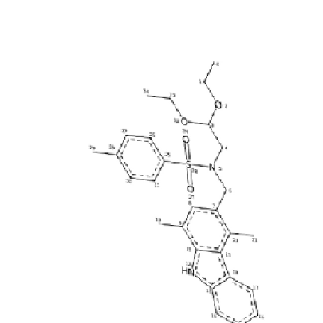 CCOC(CN(Cc1cc(C)c2[nH]c3ccccc3c2c1C)S(=O)(=O)c1ccc(C)cc1)OCC